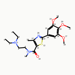 CCN(CC)CCN(C)C(=O)c1sc(-c2cc(OC)c(OC)c(OC)c2)nc1C